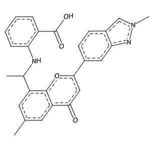 Cc1cc(C(C)Nc2ccccc2C(=O)O)c2oc(-c3ccc4cn(C)nc4c3)cc(=O)c2c1